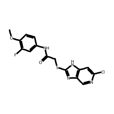 COc1ccc(NC(=O)CSc2nc3cnc(Cl)cc3[nH]2)cc1F